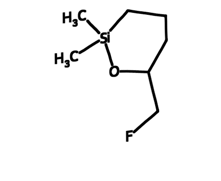 C[Si]1(C)CCCC(CF)O1